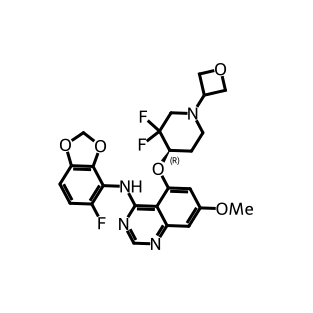 COc1cc(O[C@@H]2CCN(C3COC3)CC2(F)F)c2c(Nc3c(F)ccc4c3OCO4)ncnc2c1